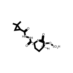 CC1(C)CC1C(=O)NNC(=O)[C@H]1CC[C@H]2CN1C(=O)N2OS(=O)(=O)O